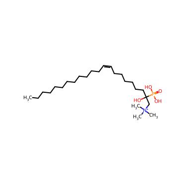 CCCCCCCCCCCC/C=C\CCCCCCC(O)(C[N+](C)(C)C)P(=O)(O)O